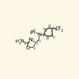 CC(C)N(C[C@H]1COC(N)=N1)c1ccc(C(F)(F)F)cc1